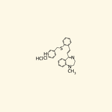 CN1CCN=C(C=Cc2ccccc2SCc2ccccc2)c2ccccc21.Cl.Cl